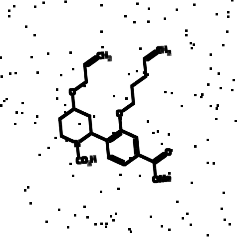 C=CCCCOc1cc(C(=O)OC)ccc1C1CC(OCC=C)CCN1C(=O)O